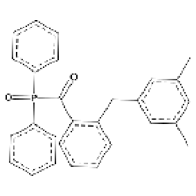 Cc1cc(C)cc(Cc2ccccc2C(=O)P(=O)(c2ccccc2)c2ccccc2)c1